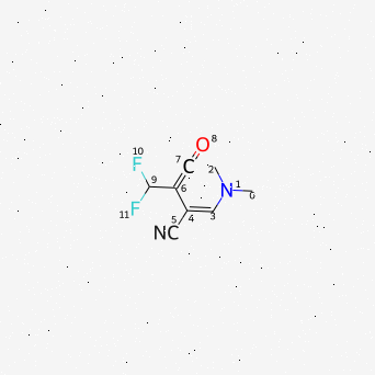 CN(C)C=C(C#N)C(=C=O)C(F)F